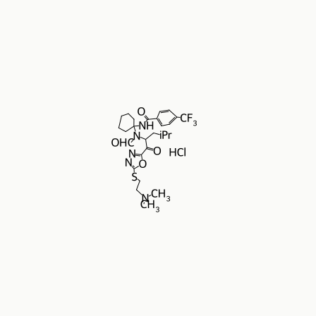 CC(C)CC(C(=O)c1nnc(SCCN(C)C)o1)N(C=O)C1(NC(=O)c2ccc(C(F)(F)F)cc2)CCCCC1.Cl